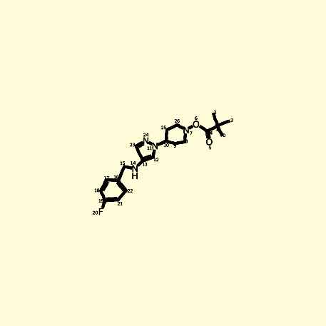 CC(C)(C)C(=O)ON1CCC(n2cc(NCc3ccc(F)cc3)cn2)CC1